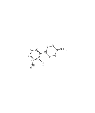 CN1CCN(c2cccc(O)c2Cl)CC1